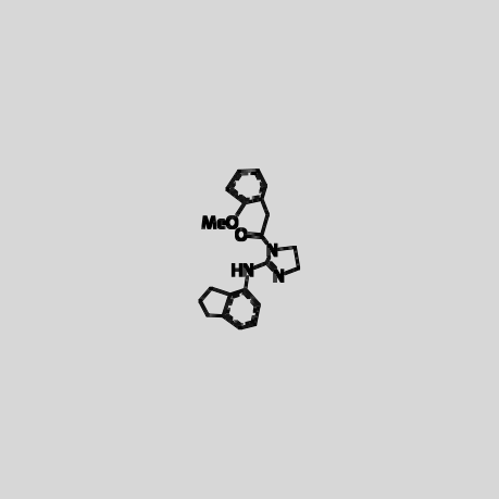 COc1ccccc1CC(=O)N1CCN=C1Nc1cccc2c1CCC2